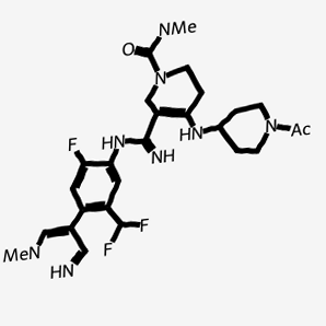 CN/C=C(\C=N)c1cc(F)c(NC(=N)C2=C(NC3CCN(C(C)=O)CC3)CCN(C(=O)NC)C2)cc1C(F)F